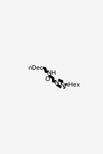 CCCCCCCCCCCCNC(=O)CCN1CC[N+](C)(CCCCCC)CC1